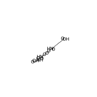 C[C@@H](CCCCNC(=O)CCC(=O)NCCCOCCOCCOCCCNC(=O)CCCCCCCCCCCCCCC(=O)O)C(=O)O